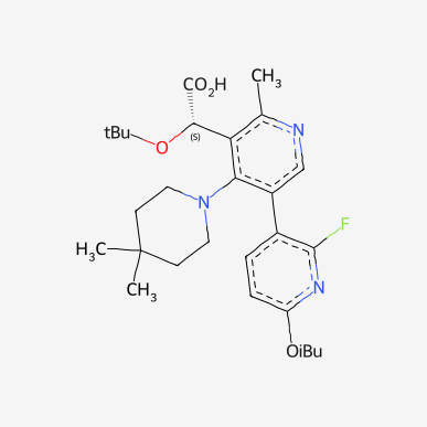 Cc1ncc(-c2ccc(OCC(C)C)nc2F)c(N2CCC(C)(C)CC2)c1[C@H](OC(C)(C)C)C(=O)O